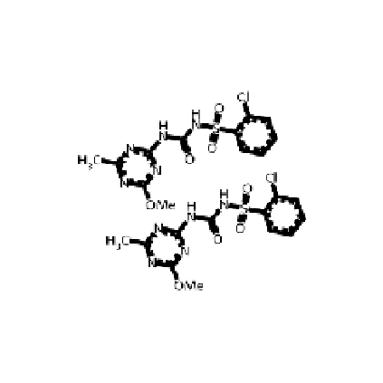 COc1nc(C)nc(NC(=O)NS(=O)(=O)c2ccccc2Cl)n1.COc1nc(C)nc(NC(=O)NS(=O)(=O)c2ccccc2Cl)n1